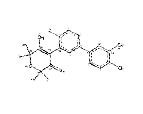 Cc1ccc(-c2ccc(Cl)c(C#N)c2)cc1C1=C(O)C(C)(C)OC(C)(C)C1=O